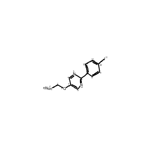 CCCCCCCCCCOc1cnc(-c2ccc(I)cc2)nc1